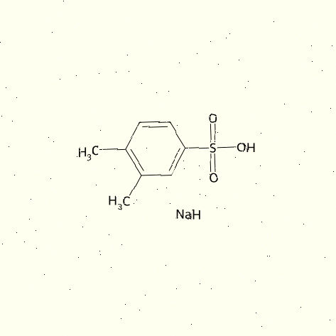 Cc1ccc(S(=O)(=O)O)cc1C.[NaH]